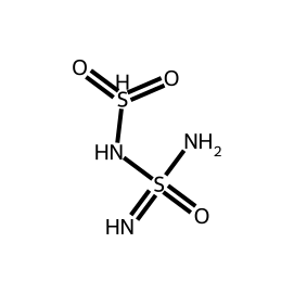 N=S(N)(=O)N[SH](=O)=O